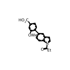 CCC(=O)n1ccc2cc(-c3ccc(C(=O)O)cc3OC)ccc21